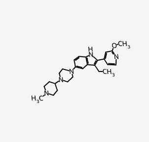 CCc1c(-c2ccnc(OC)c2)[nH]c2ccc(N3CCN(C4CCN(C)CC4)CC3)cc12